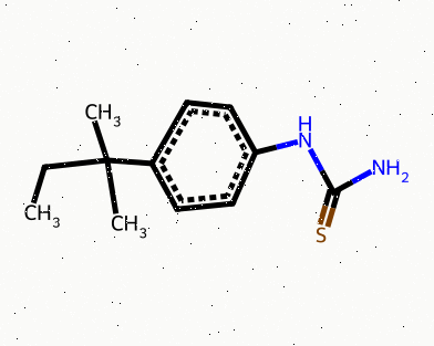 CCC(C)(C)c1ccc(NC(N)=S)cc1